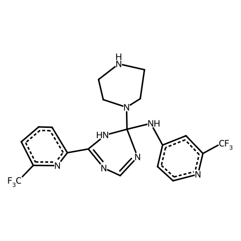 FC(F)(F)c1cc(NC2(N3CCNCC3)N=CN=C(c3cccc(C(F)(F)F)n3)N2)ccn1